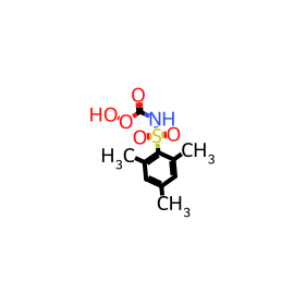 Cc1cc(C)c(S(=O)(=O)NC(=O)OO)c(C)c1